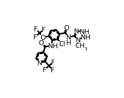 CN1NNN=C1NC(=O)c1ccc(OC(F)(F)F)c(NC(=O)c2ccnc(C(F)(F)F)c2)c1Cl